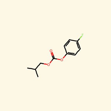 CC(C)COC(=O)Oc1ccc(F)cc1